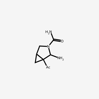 CC(=O)C12CC1CN(C(N)=O)C2N